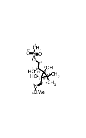 CON=C[C@]1(O)C(C)(C)[C@@]1(O)[C@H](O)COS(C)(=O)=O